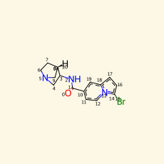 O=C(NC1CN2CC[C@H]1C2)c1ccn2c(Br)ccc2c1